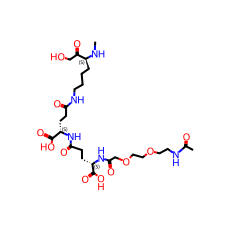 CN[C@@H](CCCCNC(=O)CC[C@H](NC(=O)CC[C@H](NC(=O)COCCOCCNC(C)=O)C(=O)O)C(=O)O)C(=O)CO